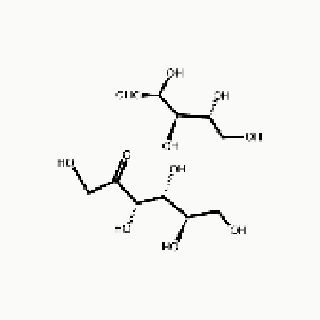 O=C(CO)[C@@H](O)[C@H](O)[C@H](O)CO.O=C[C@@H](O)[C@H](O)[C@H](O)CO